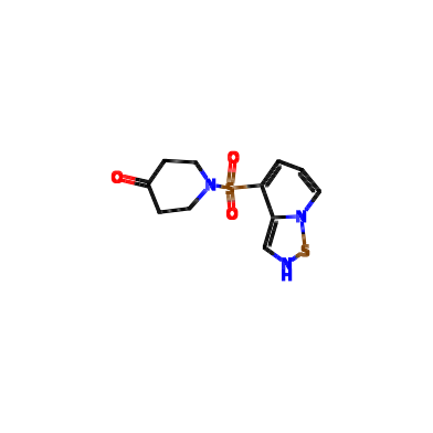 O=C1CCN(S(=O)(=O)C2=CC=CN3SNC=C23)CC1